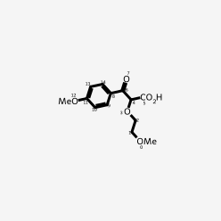 COCCOC(C(=O)O)C(=O)c1ccc(OC)cc1